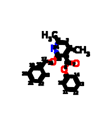 Cc1cc(C)c(C(=O)Oc2ccccc2)c(OCc2ccccc2)n1